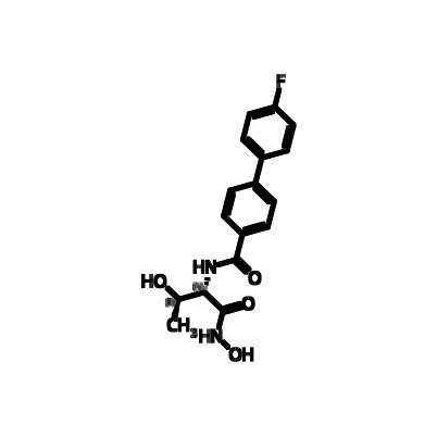 C[C@@H](O)[C@H](NC(=O)c1ccc(-c2ccc(F)cc2)cc1)C(=O)NO